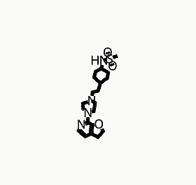 CS(=O)(=O)NC1CCC(CCN2CCN(c3nccc4c3OCC4)CC2)CC1